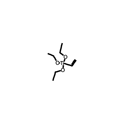 C=[CH][Ti]([O]CC)([O]CC)[O]CC